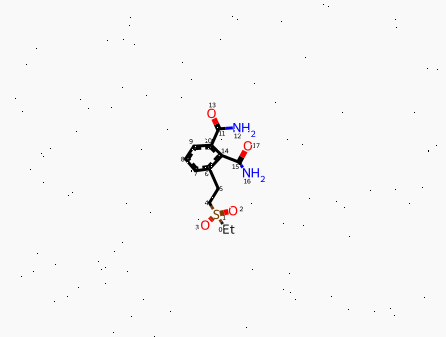 CCS(=O)(=O)CCc1cccc(C(N)=O)c1C(N)=O